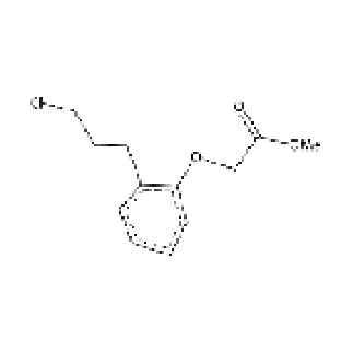 COC(=O)COc1ccccc1CCCCl